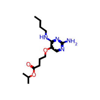 CCCCNc1nc(N)ncc1OCCCC(=O)OC(C)C